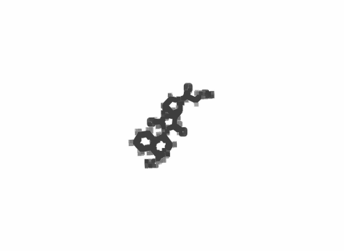 CC(C)(C)CC(=O)N1CC2CC1C1C(=O)N(c3cnc(C#N)c4ccccc34)C(=O)N21